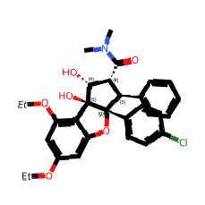 CCOc1cc(OCC)c2c(c1)O[C@@]1(c3ccc(Cl)cc3)[C@H](c3ccccc3)[C@@H](C(=O)N(C)C)[C@@H](O)[C@@]21O